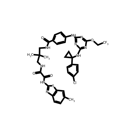 Cc1ccc2nc(NC(=O)C(=O)NCC(C)(C)CNC(=O)c3ccc(Nc4nc(NC5(c6ccc(Cl)cc6)CC5)nc(OCC(F)(F)F)n4)cc3)sc2c1